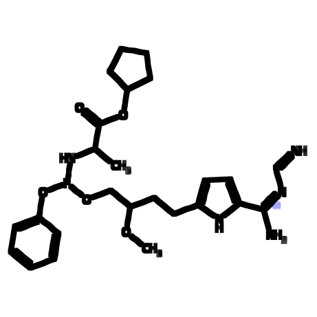 COC(CCc1ccc(/C(N)=N\C=N)[nH]1)COP(NC(C)C(=O)OC1CCCC1)Oc1ccccc1